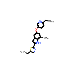 COCc1ccc(Oc2cc(OC)c3[nH]c(C4=NCC(CC=O)S4)cc3c2)cn1